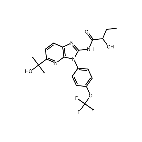 CCC(O)C(=O)Nc1nc2ccc(C(C)(C)O)nc2n1-c1ccc(OC(F)(F)F)cc1